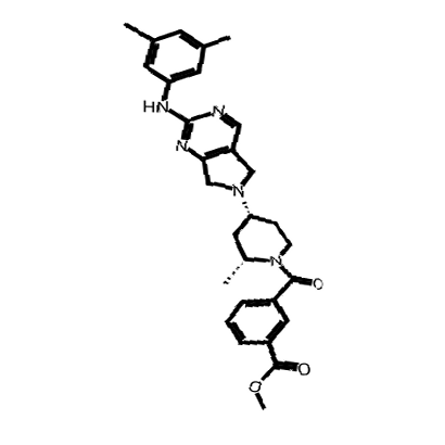 COC(=O)c1cccc(C(=O)N2CC[C@@H](N3Cc4cnc(Nc5cc(C)cc(C)c5)nc4C3)C[C@H]2C)c1